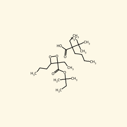 CCCC1OOC1(CC)C(=O)OC(C)(C)CC.CCCCC(CC)(C(=O)O)C(C)(C)C